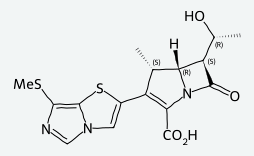 CSc1ncn2cc(C3=C(C(=O)O)N4C(=O)[C@H]([C@@H](C)O)[C@H]4[C@H]3C)sc12